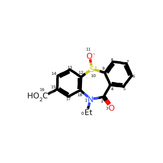 CCN1C(=O)c2ccccc2[S+]([O-])c2ccc(C(=O)O)cc21